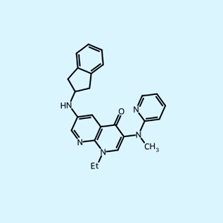 CCn1cc(N(C)c2ccccn2)c(=O)c2cc(NC3Cc4ccccc4C3)cnc21